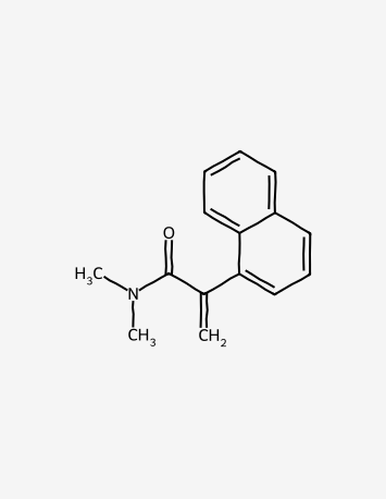 C=C(C(=O)N(C)C)c1cccc2ccccc12